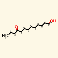 CCCC(=O)CCCCCCCCCO